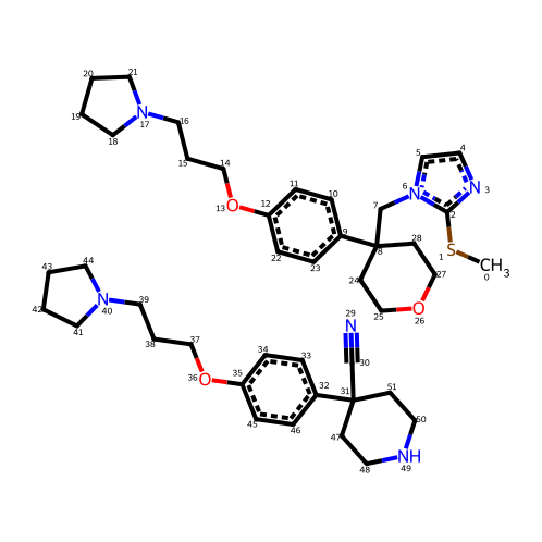 CSc1nccn1CC1(c2ccc(OCCCN3CCCC3)cc2)CCOCC1.N#CC1(c2ccc(OCCCN3CCCC3)cc2)CCNCC1